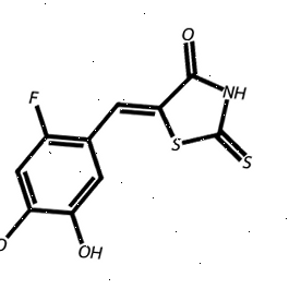 COc1cc(F)c(/C=C2\SC(=S)NC2=O)cc1O